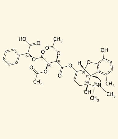 CC(=O)O[C@@H](C(=O)OC1=CC[C@@]2(O)[C@@H](C)N(C)CC[C@@]23c2c(C)ccc(O)c2O[C@@H]13)[C@@H](OC(C)=O)C(=O)O[C@H](C(=O)O)c1ccccc1